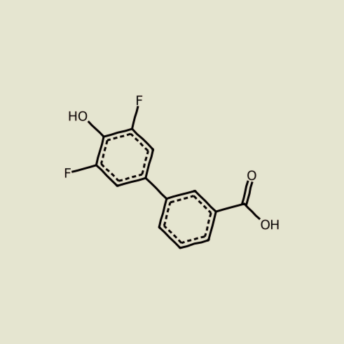 O=C(O)c1cccc(-c2cc(F)c(O)c(F)c2)c1